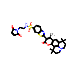 CC1(C)CCN2CCC(C)(C)c3c2c1cc1c(C(F)(F)F)c(-c2nc4ccc(S(=O)(=O)NCCN5C(=O)C=CC5=O)cc4s2)c(=O)oc31